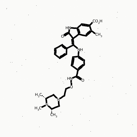 Cc1cc2c(cc1C(=O)O)NC(=O)C2=C(Nc1ccc(C(=O)NOCCN2C[C@@H](C)N(C)[C@@H](C)C2)cc1)c1ccccc1